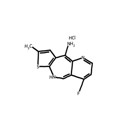 Cc1cc2c(s1)NC=c1c(F)ccnc1=C2N.Cl